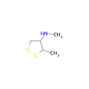 CNC1CSSC1C